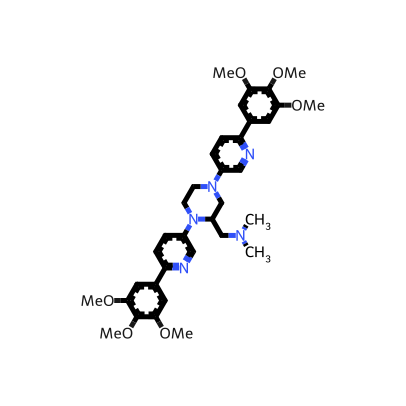 COc1cc(-c2ccc(N3CCN(c4ccc(-c5cc(OC)c(OC)c(OC)c5)nc4)C(CN(C)C)C3)cn2)cc(OC)c1OC